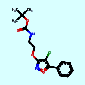 CC(C)(C)OC(=O)NCCOc1noc(-c2ccccc2)c1Cl